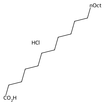 CCCCCCCCCCCCCCCCCCC(=O)O.Cl